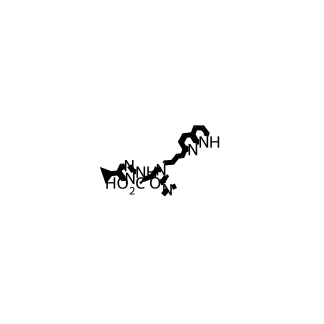 CN(C)C(=O)CN(CCCCc1ccc2c(n1)NCCC2)CC[C@H](Nc1ncc(C2CC2)cn1)C(=O)O